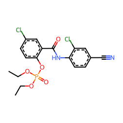 CCOP(=O)(OCC)Oc1ccc(Cl)cc1C(=O)Nc1ccc(C#N)cc1Cl